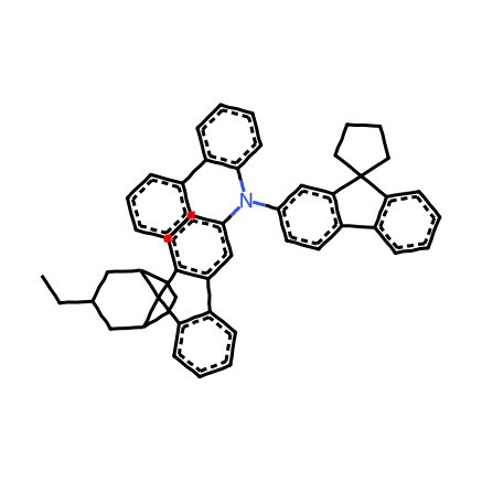 CCC1CC2CCCC(C1)C21c2ccccc2-c2cc(N(c3ccc4c(c3)C3(CCCC3)c3ccccc3-4)c3ccccc3-c3ccccc3)ccc21